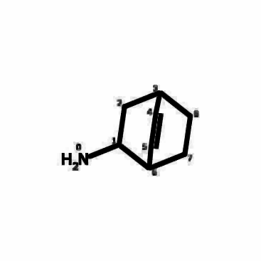 NC1CC2C=CC1CC2